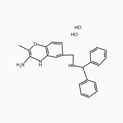 CC1=C(N)Nc2cc(CNC(c3ccccc3)c3ccccc3)ccc2O1.Cl.Cl